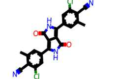 Cc1cc(C2=C3C(=O)NC(c4cc(C)c(C#N)c(Cl)c4)=C3C(=O)N2)cc(Cl)c1C#N